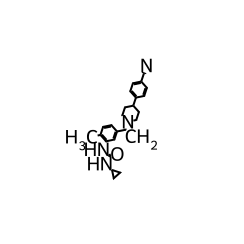 C=C(c1ccc(C)c(NC(=O)NC2CC2)c1)N1CCC(c2ccc(C#N)cc2)CC1